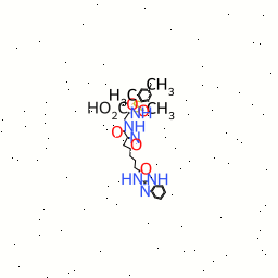 Cc1cc(C)c(S(=O)(=O)NC(CNC(=O)C2=NOC(CCCC(=O)Nc3nc4ccccc4[nH]3)C2)C(=O)O)c(C)c1